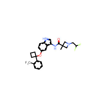 CC1(C(=O)Nc2c[nH]c3ccc(OC4(c5ccccc5C(F)(F)F)CCC4)cc23)CN(CC(F)F)C1